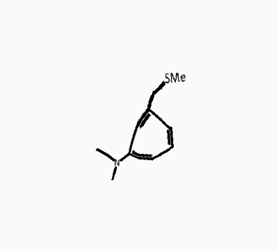 CSCc1cccc(N(C)C)c1